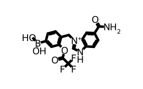 NC(=O)c1ccc2[nH]c[n+](Cc3ccc(B(O)O)cc3OC(=O)C(F)(F)F)c2c1